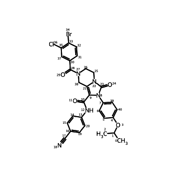 CC(C)Oc1ccc(-n2c(C(=O)Nc3ccc(C#N)cc3)c3n(c2=O)CCN(C(=O)c2ccc(Br)c(Cl)c2)C3)cc1